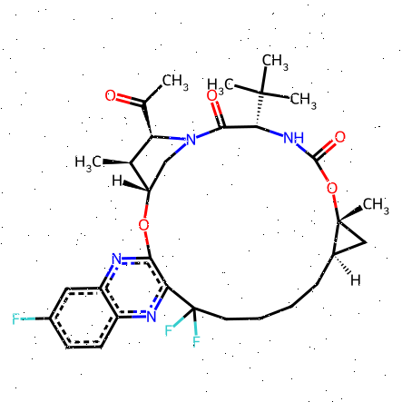 CC(=O)[C@@H]1[C@H](C)[C@@H]2CN1C(=O)[C@H](C(C)(C)C)NC(=O)O[C@]1(C)C[C@H]1CCCCC(F)(F)c1nc3ccc(F)cc3nc1O2